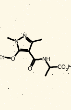 CCOc1c(C(=O)NC(C)C(=O)O)c(C)nn1C